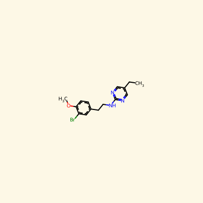 CCc1cnc(NCCc2ccc(OC)c(Br)c2)nc1